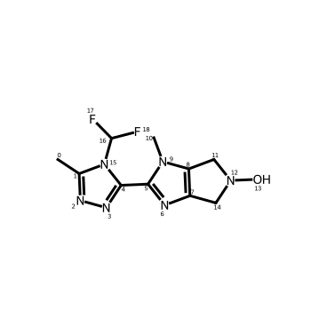 Cc1nnc(-c2nc3c(n2C)CN(O)C3)n1C(F)F